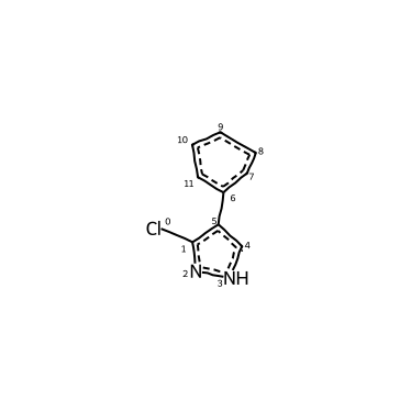 Clc1n[nH][c]c1-c1ccccc1